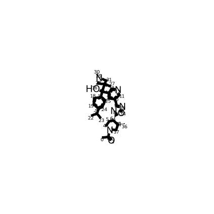 CC(=O)N1CC[C@H](c2nc(-c3cncc(C(O)(c4ccc(C(C)C)cc4)C4(C)CN(C)C4)c3)no2)[C@H](C)C1